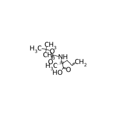 C=CC[C@](C)(NC(=O)OC(C)(C)C)C(=O)O